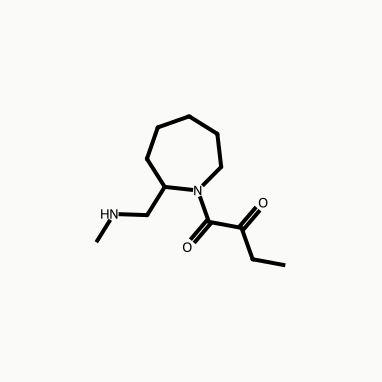 CCC(=O)C(=O)N1CCCCCC1CNC